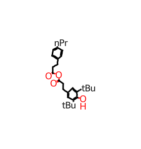 CCCc1ccc(CCC(=O)OC(=O)CCc2cc(C(C)(C)C)c(O)c(C(C)(C)C)c2)cc1